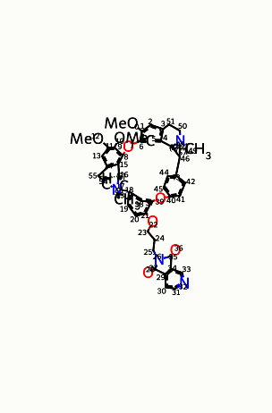 COc1cc2c3cc1Oc1c(OC)c(OC)cc4c1[C@@H](Cc1ccc(OCCCN5C(=O)c6ccncc6C5=O)c(c1)Oc1ccc(cc1)C[C@@H]3N(C)CC2)N(C)CC4